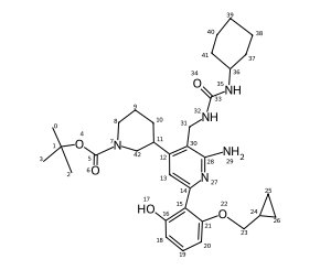 CC(C)(C)OC(=O)N1CCCC(c2cc(-c3c(O)cccc3OCC3CC3)nc(N)c2CNC(=O)NC2CCCCC2)C1